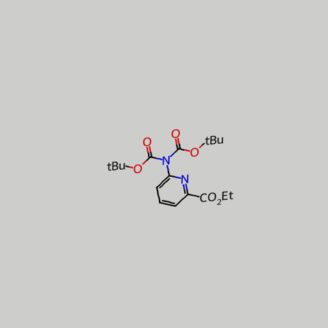 CCOC(=O)c1cccc(N(C(=O)OC(C)(C)C)C(=O)OC(C)(C)C)n1